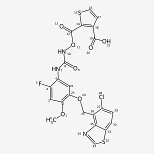 COc1cc(F)c(NC(=O)NOC(=O)c2sccc2C(=O)O)cc1OCc1c(Cl)ccc2scnc12